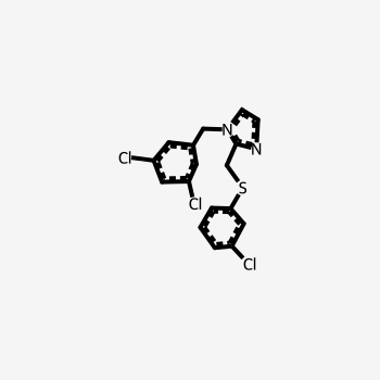 Clc1cc(Cl)cc(Cn2ccnc2CSc2cccc(Cl)c2)c1